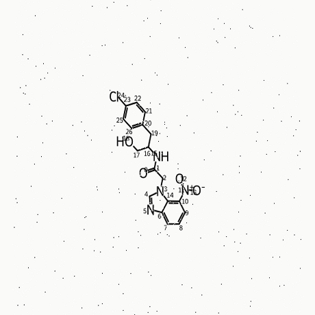 O=C(Cn1cnc2cccc([N+](=O)[O-])c21)NC(CO)Cc1ccc(Cl)cc1